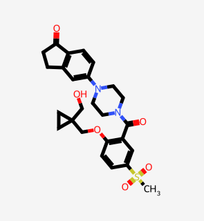 CS(=O)(=O)c1ccc(OCC2(CO)CC2)c(C(=O)N2CCN(c3ccc4c(c3)CCC4=O)CC2)c1